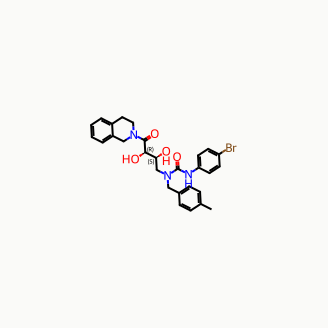 Cc1ccc(CN(C[C@H](O)[C@@H](O)C(=O)N2CCc3ccccc3C2)C(=O)Nc2ccc(Br)cc2)cc1